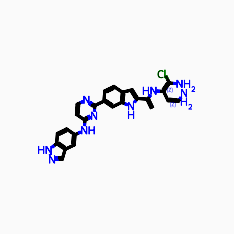 C=C(NC(/C=C\N)=C(/N)Cl)c1cc2ccc(-c3nccc(Nc4ccc5[nH]ncc5c4)n3)cc2[nH]1